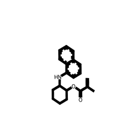 C=C(C)C(=O)OC1CCCCC1Nc1cccc2ccccc12